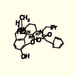 CC(C)CN([C@@H]1CCC2(O)[C@H]3Cc4ccc(O)c5c4[C@@]2(CCN3C)[C@H]1O5)S(=O)(=O)Cc1ccccc1